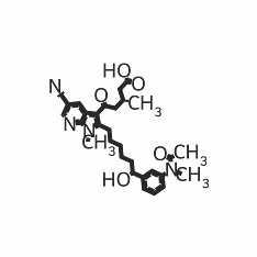 CC(=O)N(C)c1cccc(C(O)CCCCCc2c(C(=O)C[C@H](C)CC(=O)O)c3cc(C#N)cnc3n2C)c1